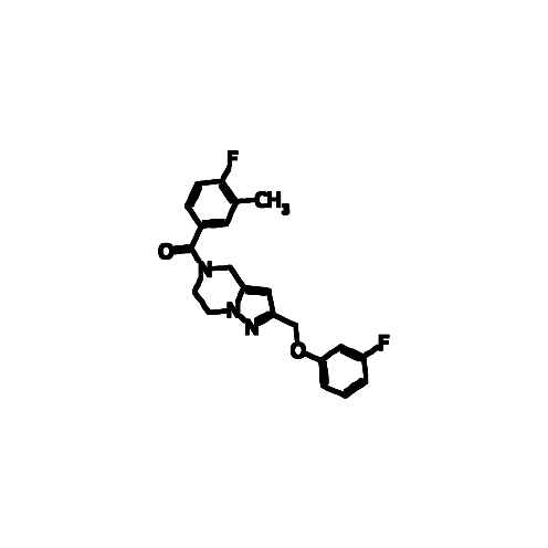 Cc1cc(C(=O)N2CCn3nc(COc4cccc(F)c4)cc3C2)ccc1F